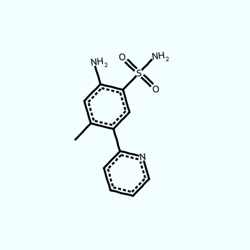 Cc1cc(N)c(S(N)(=O)=O)cc1-c1ccccn1